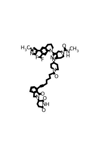 CNC(=O)N1CCc2c(c(N3CCCc4cc(-c5cnn(C)c5)c(C(F)F)cc43)nn2C2CCN(C(=O)CCCCC#Cc3cccc4c3C(=O)N(C3CCC(=O)NC3=O)C4)CC2)C1